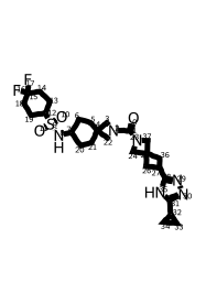 O=C(N1CC2(CCC(NS(=O)(=O)C3CCC(F)(F)CC3)CC2)C1)N1CC2(CC(c3nnc(C4CC4)[nH]3)C2)C1